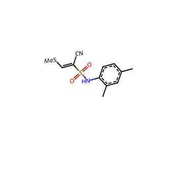 CSC=C(C#N)S(=O)(=O)Nc1ccc(C)cc1C